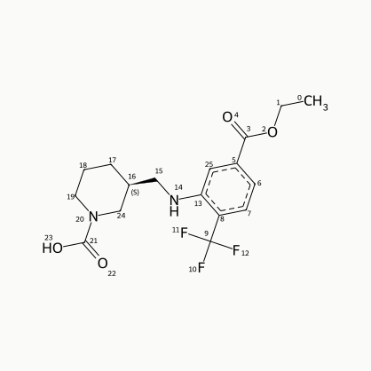 CCOC(=O)c1ccc(C(F)(F)F)c(NC[C@@H]2CCCN(C(=O)O)C2)c1